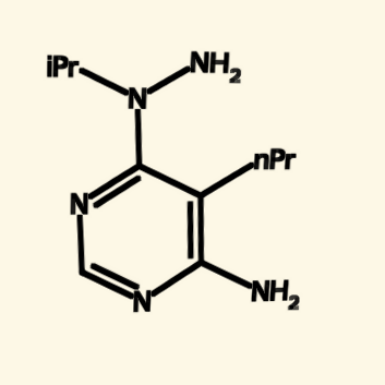 CCCc1c(N)ncnc1N(N)C(C)C